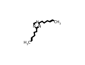 CC=CCCCc1ncnc(CCCC=CC)n1